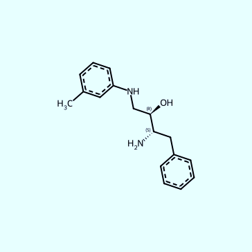 Cc1cccc(NC[C@@H](O)[C@@H](N)Cc2ccccc2)c1